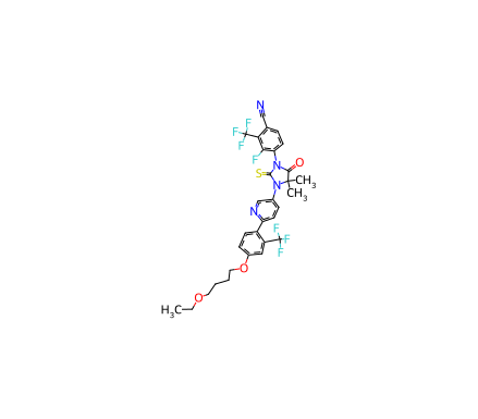 CCOCCCCOc1ccc(-c2ccc(N3C(=S)N(c4ccc(C#N)c(C(F)(F)F)c4F)C(=O)C3(C)C)cn2)c(C(F)(F)F)c1